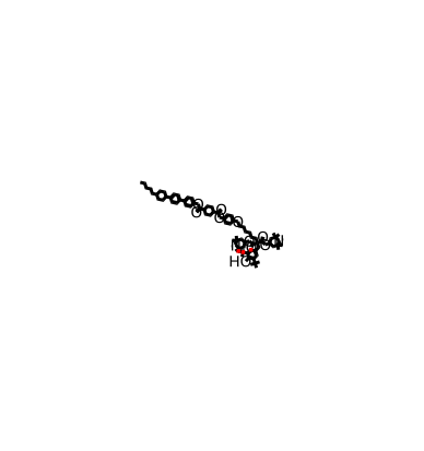 CCCCCC1CCC(c2ccc(-c3ccc(OC(=O)C4CCC(C(=O)Oc5ccc(OCCCCCCC(Cc6cc(C(C)(C)C)c(O)c(C(C)(C)C)c6)(C(=O)OC6CC(C)(C)N(C)C(C)(C)C6)C(=O)OC6CC(C)(C)N(C)C(C)(C)C6)cc5)CC4)cc3)cc2)CC1